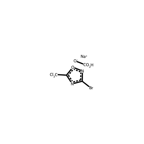 ClC(Cl)(Cl)c1nc(Br)no1.O=C([O-])O.[Na+]